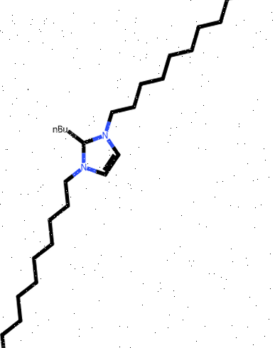 CCCCCCCCCCCCCCCCCCCN1C=CN(CCCCCCCCCCCCCCCCCCC)C1CCCC